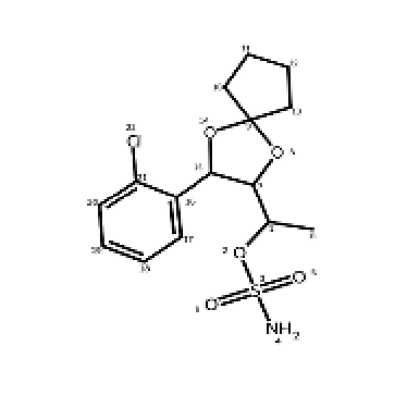 CC(OS(N)(=O)=O)C1OC2(CCCC2)OC1c1ccccc1Cl